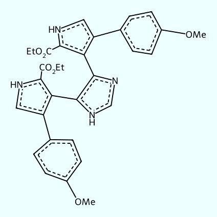 CCOC(=O)c1[nH]cc(-c2ccc(OC)cc2)c1-c1nc[nH]c1-c1c(-c2ccc(OC)cc2)c[nH]c1C(=O)OCC